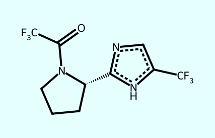 O=C(N1CCC[C@H]1c1ncc(C(F)(F)F)[nH]1)C(F)(F)F